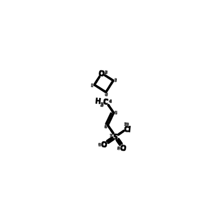 C1COC1.CC=CS(=O)(=O)Cl